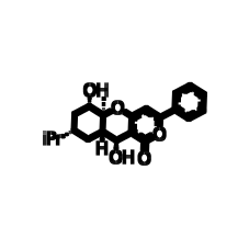 CC(C)[C@@H]1C[C@H](O)[C@@]2(C)Oc3cc(-c4ccccc4)oc(=O)c3[C@@H](O)[C@@H]2C1